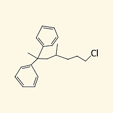 CC(CCCCl)CC(C)(c1ccccc1)c1ccccc1